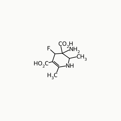 CC1=C(C(=O)O)C(F)C(N)(C(=O)O)C(C)N1